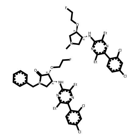 CCc1nc(-c2ccc(Cl)cc2Cl)c(CC)nc1N[C@@H]1CN(C)C[C@H]1OCCF.CCc1nc(-c2ccc(Cl)cc2Cl)c(CC)nc1N[C@@H]1CN(Cc2ccccc2)C(=O)[C@@H]1OCCF